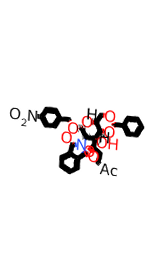 CC(=O)CCC(=O)[C@]1(O)[C@@H]2OC(c3ccccc3)OC[C@H]2O[C@@H](OCc2ccc([N+](=O)[O-])cc2)[C@@H]1N1C(=O)c2ccccc2C1=O